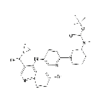 CN(C(=O)OC(C)(C)C)C1CCCN(c2ccc(Nc3c(C(=O)C4CC4)cnc4ccc(Br)cc34)cn2)C1